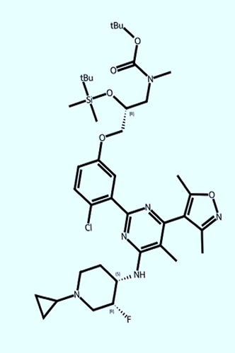 Cc1noc(C)c1-c1nc(-c2cc(OC[C@@H](CN(C)C(=O)OC(C)(C)C)O[Si](C)(C)C(C)(C)C)ccc2Cl)nc(N[C@H]2CCN(C3CC3)C[C@H]2F)c1C